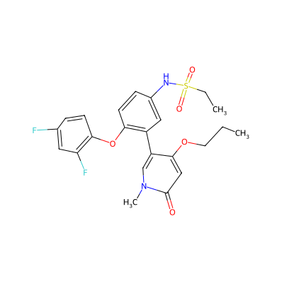 CCCOc1cc(=O)n(C)cc1-c1cc(NS(=O)(=O)CC)ccc1Oc1ccc(F)cc1F